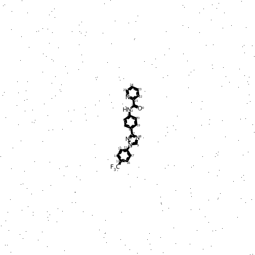 O=C(Nc1ccc(-c2ncn(-c3ccc(C(F)(F)F)cc3)n2)cc1)c1ccccn1